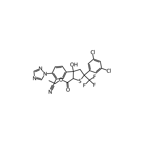 CCOC(=O)C1SC(c2cc(Cl)cc(Cl)c2)(C(F)(F)F)CC1(O)c1ccc(-n2cncn2)c(C#N)c1